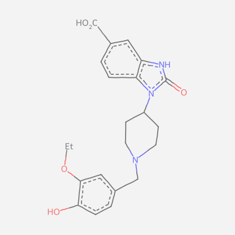 CCOc1cc(CN2CCC(n3c(=O)[nH]c4cc(C(=O)O)ccc43)CC2)ccc1O